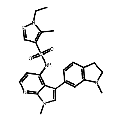 CCn1ncc(S(=O)(=O)Nc2ccnc3c2c(-c2ccc4c(c2)N(C)CC4)cn3C)c1C